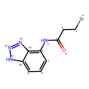 O=C(CCBr)Nc1cccc2[nH]nnc12